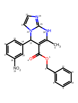 CC1=C(C(=O)OCc2ccccc2)C(c2cccc([N+](=O)[O-])c2)n2ccnc2N1